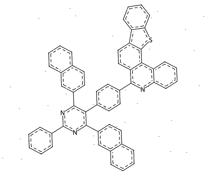 c1ccc(-c2nc(-c3ccc4ccccc4c3)c(-c3ccc(-c4nc5ccccc5c5c4ccc4c6ccccc6sc45)cc3)c(-c3ccc4ccccc4c3)n2)cc1